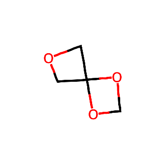 C1OC2(COC2)O1